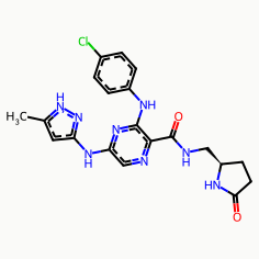 Cc1cc(Nc2cnc(C(=O)NC[C@H]3CCC(=O)N3)c(Nc3ccc(Cl)cc3)n2)n[nH]1